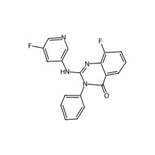 O=c1c2cccc(F)c2nc(Nc2cncc(F)c2)n1-c1ccccc1